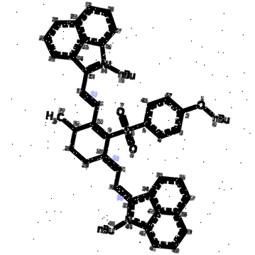 CCCCOc1ccc(S(=O)(=O)C2=C(/C=C/C3=[N+](CCCC)c4cccc5cccc3c45)C(C)CC/C2=C\C=c2/c3cccc4cccc(c43)n2CCCC)cc1